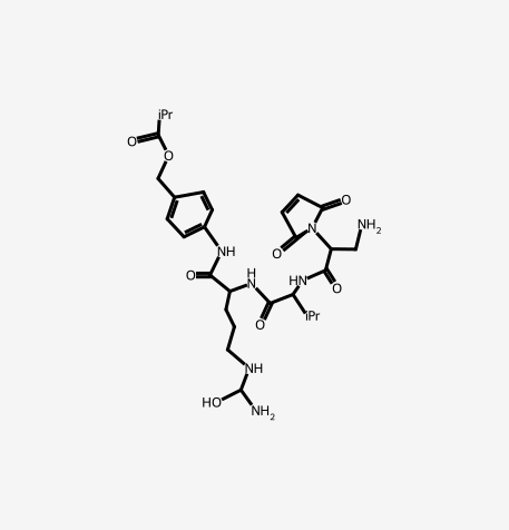 CC(C)C(=O)OCc1ccc(NC(=O)C(CCCNC(N)O)NC(=O)C(NC(=O)C(CN)N2C(=O)C=CC2=O)C(C)C)cc1